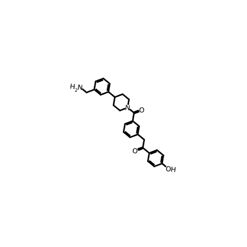 NCc1cccc(C2CCN(C(=O)c3cccc(CC(=O)c4ccc(O)cc4)c3)CC2)c1